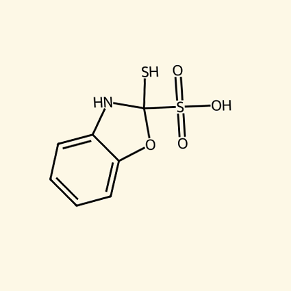 O=S(=O)(O)C1(S)Nc2ccccc2O1